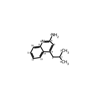 CC(C)Cc1cc(N)nc2ccccc12